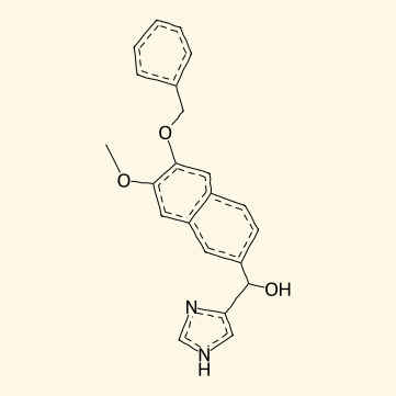 COc1cc2cc(C(O)c3c[nH]cn3)ccc2cc1OCc1ccccc1